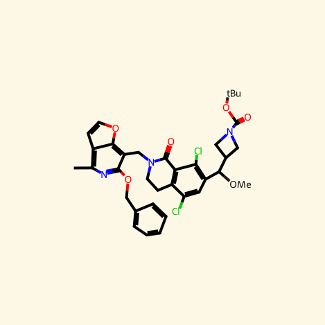 COC(c1cc(Cl)c2c(c1Cl)C(=O)N(Cc1c(OCc3ccccc3)nc(C)c3ccoc13)CC2)C1CN(C(=O)OC(C)(C)C)C1